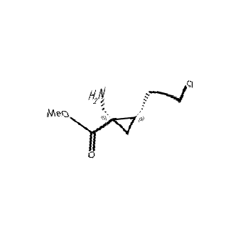 COC(=O)[C@]1(N)C[C@H]1CCCl